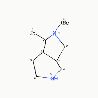 CCC1C2CCNCC2CN1C(C)(C)C